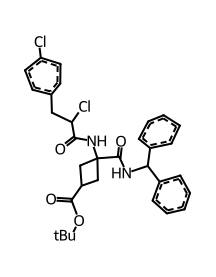 CC(C)(C)OC(=O)C1CC(NC(=O)C(Cl)Cc2ccc(Cl)cc2)(C(=O)NC(c2ccccc2)c2ccccc2)C1